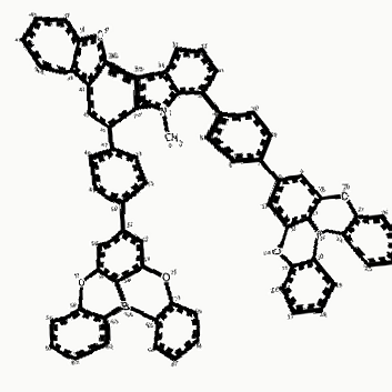 Cn1c2c(-c3ccc(-c4cc5c6c(c4)Oc4ccccc4B6c4ccccc4O5)cc3)cccc2c2c3oc4ccccc4c3cc(-c3ccc(-c4cc5c6c(c4)Oc4ccccc4B6c4ccccc4O5)cc3)c21